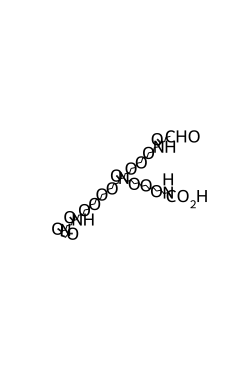 O=CCCC(=O)NCCOCCOCCOCCN(CCOCCOCCOCCNC(=O)O)C(=O)CCOCCOCCOCCOCCNC(=O)CCN1C(=O)C=CC1=O